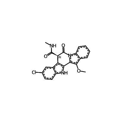 CNC(=O)[C@H]1C(=O)n2c(c(OC)c3ccccc32)-c2[nH]c3ccc(Cl)cc3c21